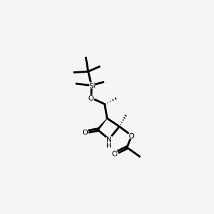 CC(=O)O[C@@]1(C)NC(=O)[C@H]1[C@@H](C)O[Si](C)(C)C(C)(C)C